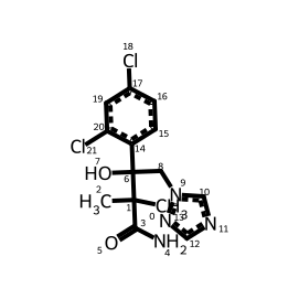 CC(C)(C(N)=O)C(O)(Cn1cncn1)c1ccc(Cl)cc1Cl